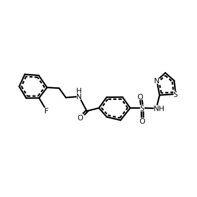 O=C(NCCc1ccccc1F)c1ccc(S(=O)(=O)Nc2nccs2)cc1